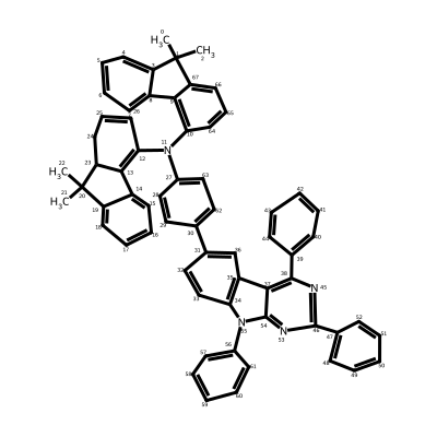 CC1(C)c2ccccc2-c2c(N(C3=C4c5ccccc5C(C)(C)C4CC=C3)c3ccc(-c4ccc5c(c4)c4c(-c6ccccc6)nc(-c6ccccc6)nc4n5-c4ccccc4)cc3)cccc21